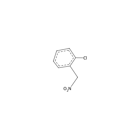 O=[N+]([O-])Cc1ccccc1Cl